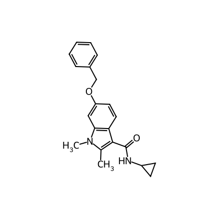 Cc1c(C(=O)NC2CC2)c2ccc(OCc3ccccc3)cc2n1C